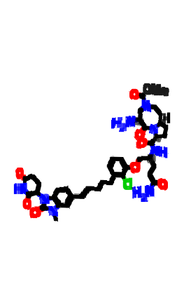 COC(=O)N1CC[C@H]2CC[C@@H](C(=O)N[C@@H](CCC(N)=O)COc3cccc(CCCCCc4ccc5c(c4)n(C)c(=O)n5C4CCC(=O)NC4=O)c3Cl)N2C(=O)[C@@H](N)C1